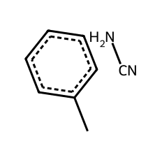 Cc1ccccc1.N#CN